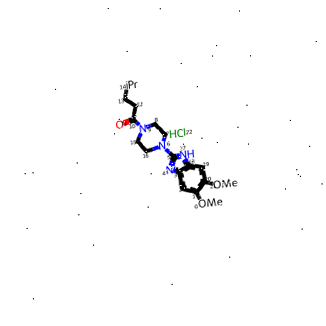 COc1cc2nc(N3CCN(C(=O)CCC(C)C)CC3)[nH]c2cc1OC.Cl